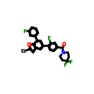 CCc1cc2cc(-c3ccc(C(=O)N4CCC(F)(F)CC4)cc3F)cc(-c3cccc(F)c3)c2o1